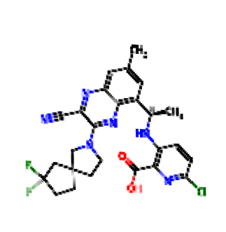 Cc1cc([C@@H](C)Nc2ccc(Cl)nc2C(=O)O)c2nc(N3CCC4(CCC(F)(F)C4)C3)c(C#N)nc2c1